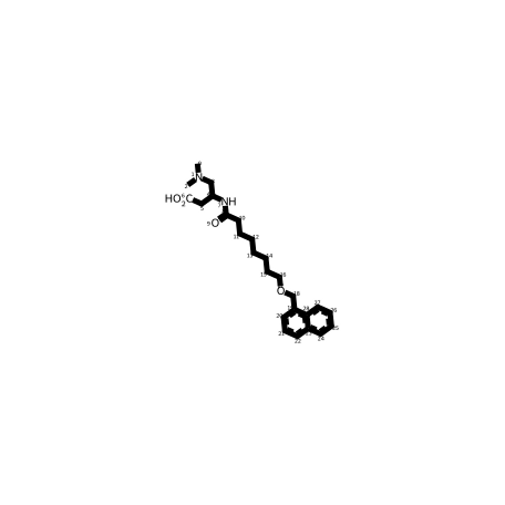 CN(C)CC(CC(=O)O)NC(=O)CCCCCCCOCc1cccc2ccccc12